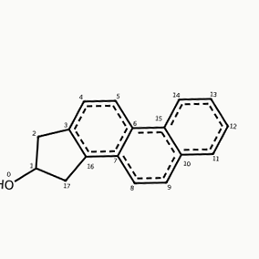 OC1Cc2ccc3c(ccc4ccccc43)c2C1